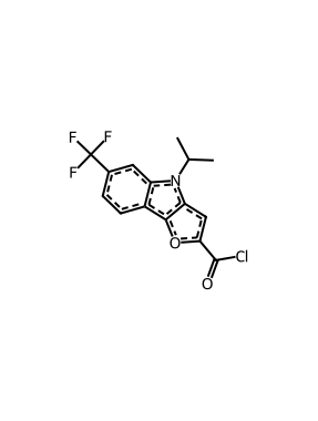 CC(C)n1c2cc(C(F)(F)F)ccc2c2oc(C(=O)Cl)cc21